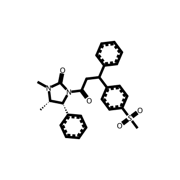 C[C@H]1[C@@H](c2ccccc2)N(C(=O)CC(c2ccccc2)c2ccc(S(C)(=O)=O)cc2)C(=O)N1C